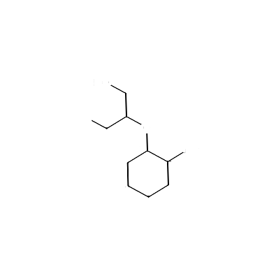 CCCC1CCCCC1OC(CO)CO